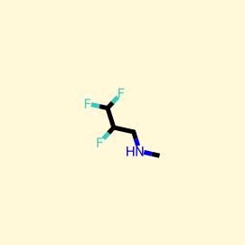 CNCC(F)C(F)F